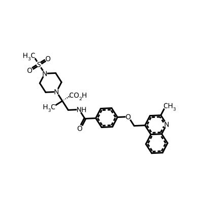 Cc1cc(COc2ccc(C(=O)NC[C@](C)(C(=O)O)N3CCN(S(C)(=O)=O)CC3)cc2)c2ccccc2n1